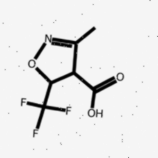 CC1=NOC(C(F)(F)F)C1C(=O)O